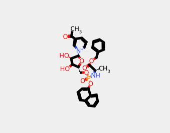 CC(=O)c1ccc[n+]([C@@H]2O[C@H](COP(=O)(N[C@@H](C)C(=O)OCc3ccccc3)Oc3cccc4ccccc34)C(O)[C@@H]2O)c1